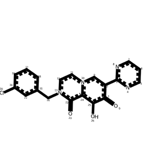 O=c1c(-c2ncccn2)cn2ccn(Cc3cccc(Cl)c3)c(=O)c2c1O